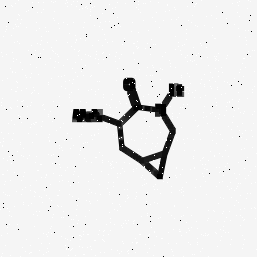 CCN1CC2CC2CC(NC)C1=O